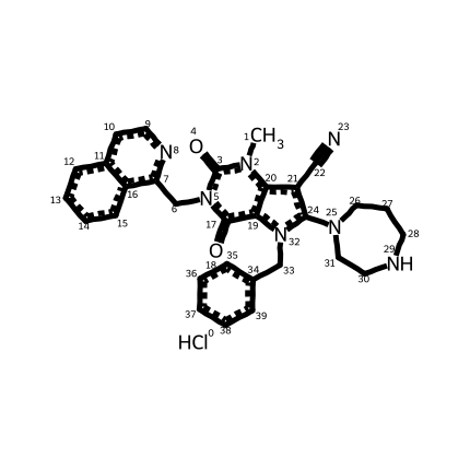 Cl.Cn1c(=O)n(Cc2nccc3ccccc23)c(=O)c2c1c(C#N)c(N1CCCNCC1)n2Cc1ccccc1